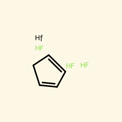 C1=CCC=C1.F.F.F.[Hf]